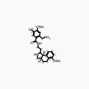 COc1cc(CN)c(C(=O)NCCC2NC[C@@H]3CCc4c(OC)cccc4[C@H]23)cc1Cl